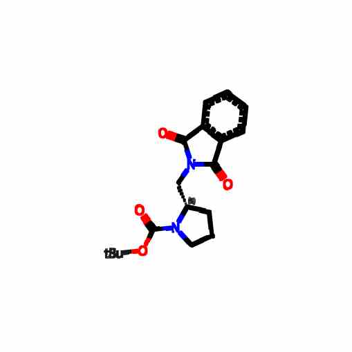 CC(C)(C)OC(=O)N1CCC[C@H]1CN1C(=O)c2ccccc2C1=O